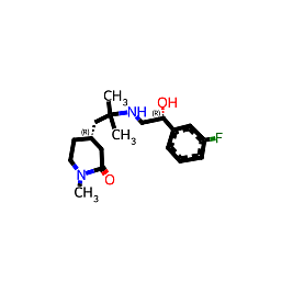 CN1CC[C@H](CC(C)(C)NC[C@H](O)c2cccc(F)c2)CC1=O